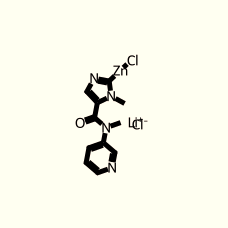 CN(C(=O)c1cn[c]([Zn][Cl])n1C)c1cccnc1.[Cl-].[Li+]